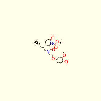 COc1ccc(OCCN(CC=CC[Si](C)(C)C)C(=O)[C@@H]2CCCC(=O)N2C(=O)OC(C)(C)C)cc1OC